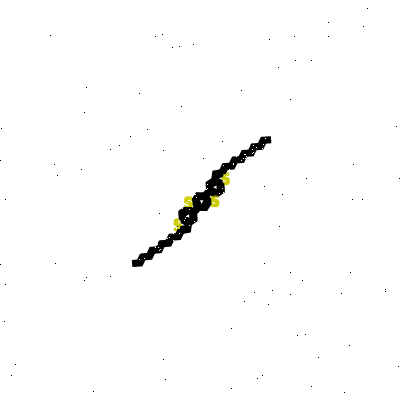 CCCCCCCCCCc1cc2cc3c(cc2s1)sc1cc2c(cc13)sc1cc3sc(CCCCCCCCCC)cc3cc12